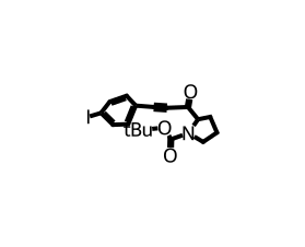 CC(C)(C)OC(=O)N1CCCC1C(=O)C#Cc1ccc(I)cc1